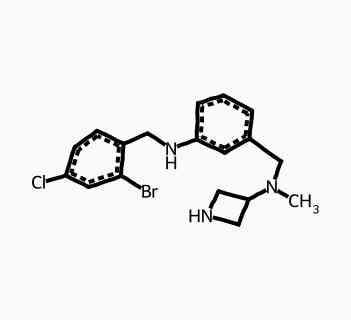 CN(Cc1cccc(NCc2ccc(Cl)cc2Br)c1)C1CNC1